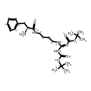 CC(C)(C)OC(=O)/N=C(\NCCCCNC(=O)[C@@H](N)Cc1ccccc1)NC(=O)OC(C)(C)C